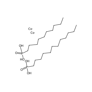 CCCCCCCCCCCCP(=O)(O)O.CCCCCCCCCCP(=O)(O)O.[Co].[Co]